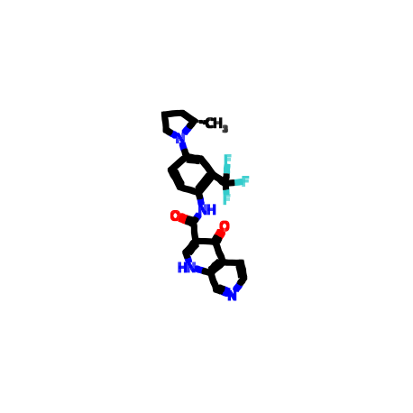 C[C@H]1CCCN1c1ccc(NC(=O)c2c[nH]c3cnccc3c2=O)c(C(F)(F)F)c1